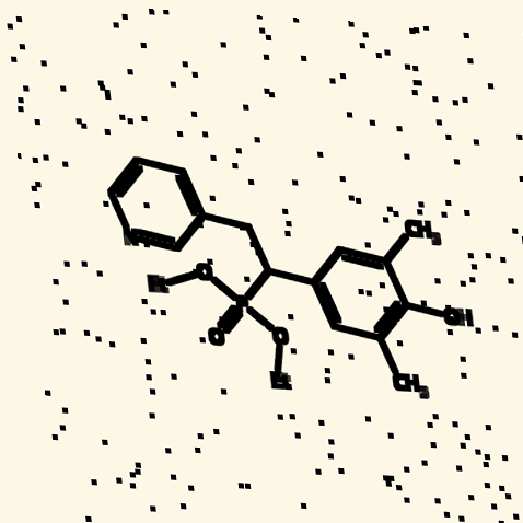 CCOP(=O)(OCC)C(Cc1cccnc1)c1cc(C)c(O)c(C)c1